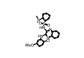 COc1ccc(Cl)c(Nc2nc3ccccc3nc2NS(=O)(=O)c2ccccc2N(C)C)c1